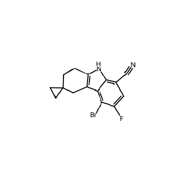 N#Cc1cc(F)c(Br)c2c3c([nH]c12)CCC1(CC1)C3